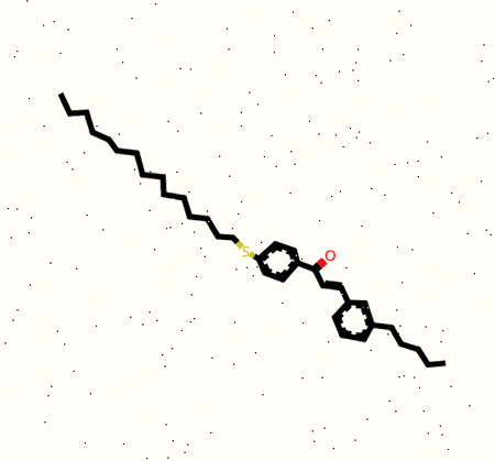 CCCCCCCCCCCCCCCSc1ccc(C(=O)C=Cc2cccc(CCCCC)c2)cc1